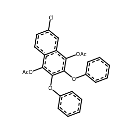 CC(=O)Oc1c(Oc2ccccc2)c(Oc2ccccc2)c(OC(C)=O)c2cc(Cl)ccc12